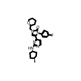 C[C@H]1CC[C@H](Nc2nccc(-c3cn(CC4CCCCO4)c(=O)n3-c3ccc(F)cc3)n2)CC1